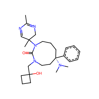 CC1=NCC(C)(N2CCC[C@](c3ccccc3)(N(C)C)CCN(CC3(O)CCC3)C2=O)C=N1